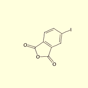 O=C1OC(=O)c2cc(I)ccc21